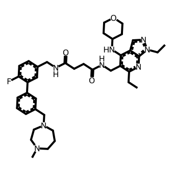 CCc1nc2c(cnn2CC)c(NC2CCOCC2)c1CNC(=O)CCC(=O)NCc1ccc(F)c(-c2cccc(CN3CCCN(C)CC3)c2)c1